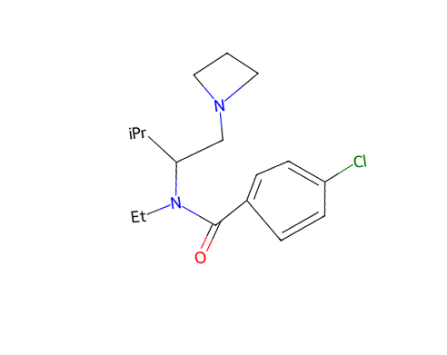 CCN(C(=O)c1ccc(Cl)cc1)C(CN1CCC1)C(C)C